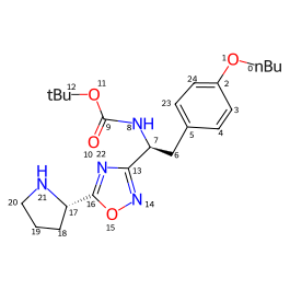 CCCCOc1ccc(C[C@H](NC(=O)OC(C)(C)C)c2noc([C@@H]3CCCN3)n2)cc1